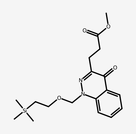 COC(=O)CCc1nn(COCC[Si](C)(C)C)c2ccccc2c1=O